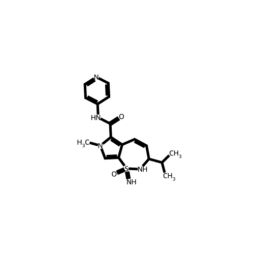 CC(C)C1C=Cc2c(cn(C)c2C(=O)Nc2ccncc2)S(=N)(=O)N1